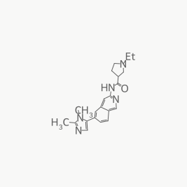 CCN1CCC(C(=O)Nc2cc3cc(-c4cnc(C)n4C)ccc3cn2)C1